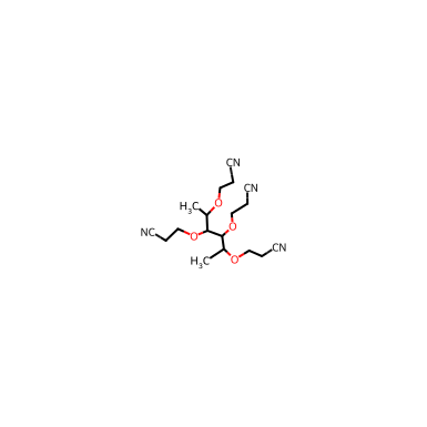 CC(OCCC#N)C(OCCC#N)C(OCCC#N)C(C)OCCC#N